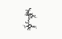 C=CN(CCOCP(=O)(N[C@@H](C)C(=O)OCC)NC(C)(C)C(=O)OCC)c1nc(N)[nH]c(=O)c1N